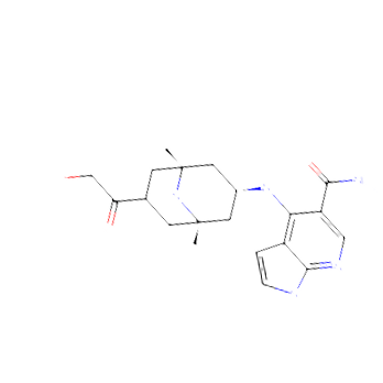 NC(=O)c1cnc2[nH]ccc2c1N[C@@H]1C[C@H]2CC(C(=O)CO)C[C@@H](C1)N2